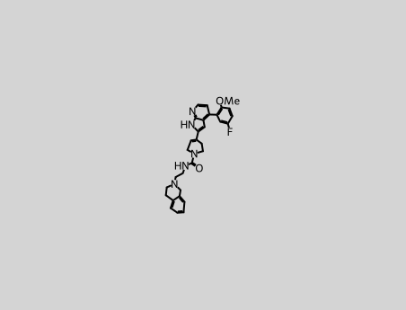 COc1ccc(F)cc1-c1ccnc2[nH]c(C3=CCN(C(=O)NCCN4CCc5ccccc5C4)CC3)cc12